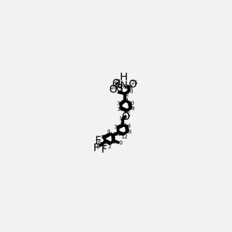 Cc1cc(C(F)(F)F)ccc1-c1cccc(COc2ccc(C3CC(=O)NS(=O)(=O)C3)cc2)c1